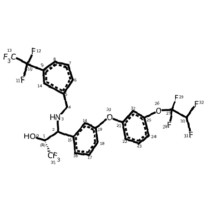 O[C@H](C(NCc1cccc(C(F)(F)C(F)(F)F)c1)c1cccc(Oc2cccc(OC(F)(F)C(F)F)c2)c1)C(F)(F)F